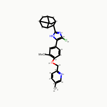 COc1cc(-c2[nH]c(C3C4CC5CC(C4)CC3C5)nc2Cl)ccc1OCc1ccc(C(F)(F)F)cn1